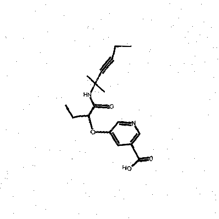 CCC#CC(C)(C)NC(=O)C(CC)Oc1cncc(C(=O)O)c1